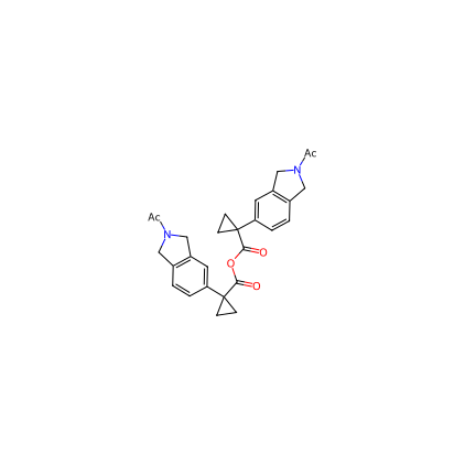 CC(=O)N1Cc2ccc(C3(C(=O)OC(=O)C4(c5ccc6c(c5)CN(C(C)=O)C6)CC4)CC3)cc2C1